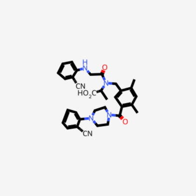 Cc1cc(C)c(C(=O)N2CCN(c3ccccc3C#N)CC2)cc1CN(C(=O)CNc1ccccc1C#N)C(C)C(=O)O